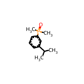 CC(C)c1cccc(P(C)(C)=O)c1